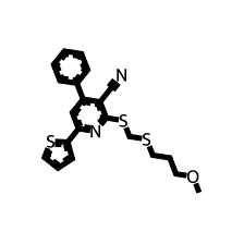 COCCCSCSc1nc(-c2cccs2)cc(-c2ccccc2)c1C#N